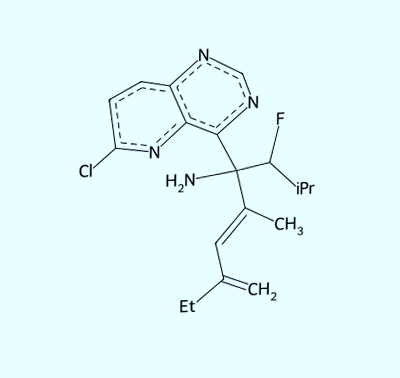 C=C(/C=C(\C)C(N)(c1ncnc2ccc(Cl)nc12)C(F)C(C)C)CC